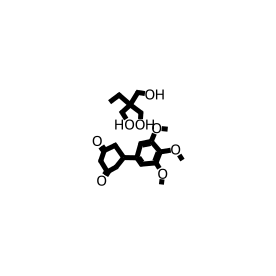 CCC(CO)(CO)CO.COc1cc(C2CC(=O)CC(=O)C2)cc(OC)c1OC